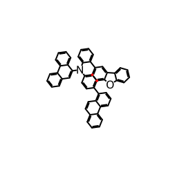 c1ccc(N(c2ccc(-c3cccc4c3ccc3ccccc34)cc2)c2cc3ccccc3c3ccccc23)c(-c2ccc3oc4ccccc4c3c2)c1